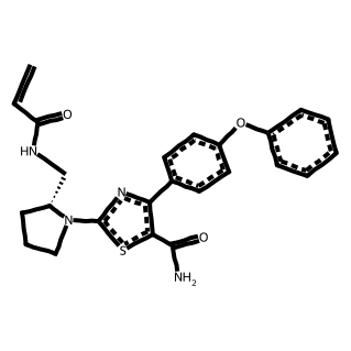 C=CC(=O)NC[C@H]1CCCN1c1nc(-c2ccc(Oc3ccccc3)cc2)c(C(N)=O)s1